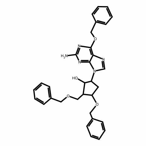 Nc1nc(OCc2ccccc2)c2ncn(C3CC(OCc4ccccc4)C(COCc4ccccc4)C3O)c2n1